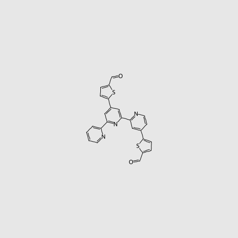 O=Cc1ccc(-c2ccnc(-c3cc(-c4ccc(C=O)s4)cc(-c4ccccn4)n3)c2)s1